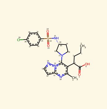 CCCC(C(=O)O)c1c(C)nc2ccnn2c1N1CC[C@@H](NS(=O)(=O)c2ccc(Cl)cc2)C1